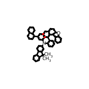 CC1(C)c2ccccc2-c2ccc(N(c3cccc(-c4cccc5ccccc45)c3)c3ccccc3-c3cccc4ccc5oc6ccccc6c5c34)cc21